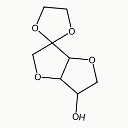 OC1COC2C1OCC21OCCO1